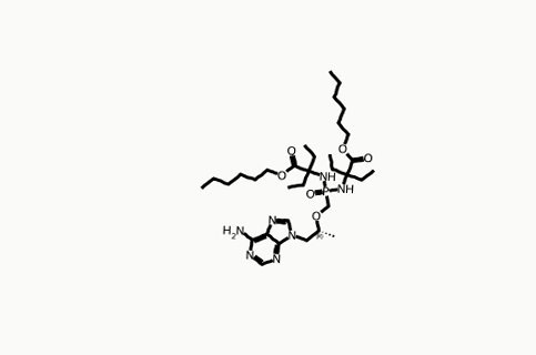 CCCCCCOC(=O)C(CC)(CC)NP(=O)(CO[C@H](C)Cn1cnc2c(N)ncnc21)NC(CC)(CC)C(=O)OCCCCCC